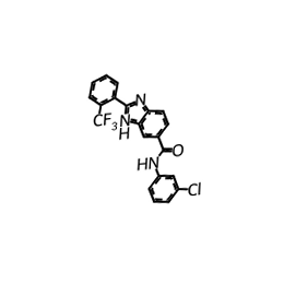 O=C(Nc1cccc(Cl)c1)c1ccc2nc(-c3ccccc3C(F)(F)F)[nH]c2c1